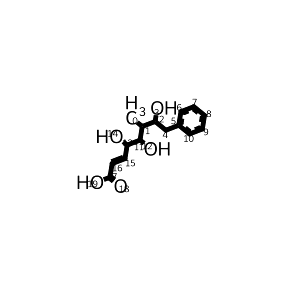 CC(C(O)Cc1ccccc1)C(O)C(O)C=CC(=O)O